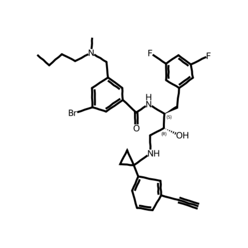 C#Cc1cccc(C2(NC[C@@H](O)[C@H](Cc3cc(F)cc(F)c3)NC(=O)c3cc(Br)cc(CN(C)CCCC)c3)CC2)c1